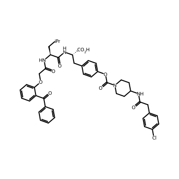 CC(C)C[C@H](NC(=O)COc1ccccc1C(=O)c1ccccc1)C(=O)N[C@@H](Cc1ccc(OC(=O)N2CCC(NC(=O)Cc3ccc(Cl)cc3)CC2)cc1)C(=O)O